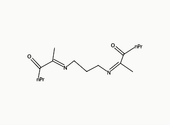 CCCC(=O)C(C)=NCCCN=C(C)C(=O)CCC